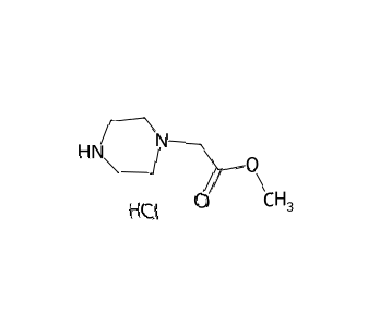 COC(=O)CN1CCNCC1.Cl